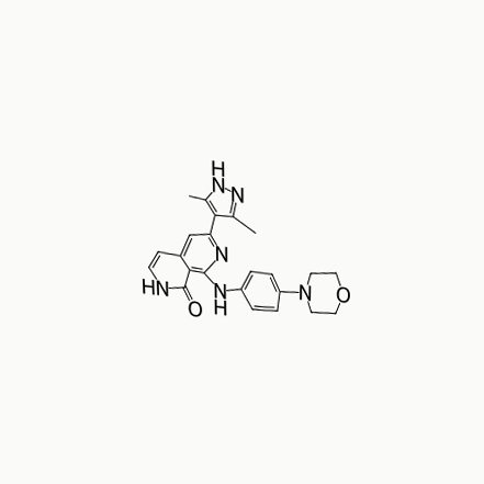 Cc1n[nH]c(C)c1-c1cc2cc[nH]c(=O)c2c(Nc2ccc(N3CCOCC3)cc2)n1